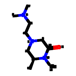 C[C@H]1CN(CCN(C)C)CC(=O)N1C(C)(C)C